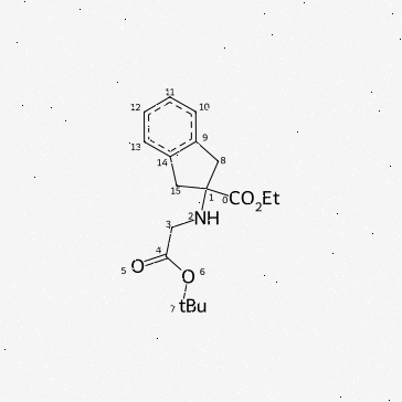 CCOC(=O)C1(NCC(=O)OC(C)(C)C)Cc2ccccc2C1